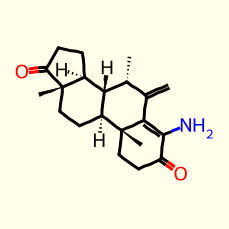 C=C1C2=C(N)C(=O)CC[C@]2(C)[C@H]2CC[C@]3(C)C(=O)CC[C@H]3[C@@H]2[C@@H]1C